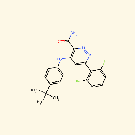 CC(C)(C(=O)O)c1ccc(Nc2cc(-c3c(F)cccc3F)nnc2C(N)=O)cc1